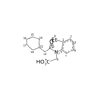 [CH2]Cc1ccccc1N(CC(=O)O)C(=O)CC1CCCCC1